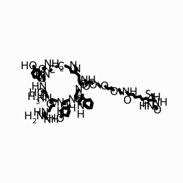 C[C@H]1NC(=O)[C@@H](CCCNC(=N)N)NC(=O)[C@@H](Cc2ccc(O)cc2)NC(=O)[C@@H](Cc2c[nH]c3ccccc23)NC(=O)[C@@H](NC(=O)COCCOCCOCCNC(=O)CCCCC2SC[C@H]3NC(=O)N[C@@H]23)CC2=CC(CCCC[C@@H](C(N)=O)NC(=O)[C@@H](Cc3ccc(O)cc3)NC1O)N=N2